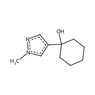 Cn1cc(C2(O)CCCCC2)cn1